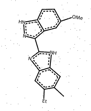 CCc1cc2nc(-c3n[nH]c4ccc(OC)cc34)[nH]c2cc1C